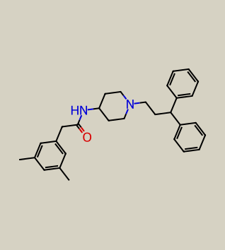 Cc1cc(C)cc(CC(=O)NC2CCN(CCC(c3ccccc3)c3ccccc3)CC2)c1